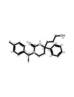 Cc1ccc([C@H](C)N2CCC(CCCO)(c3ccccc3)OC2=O)cc1